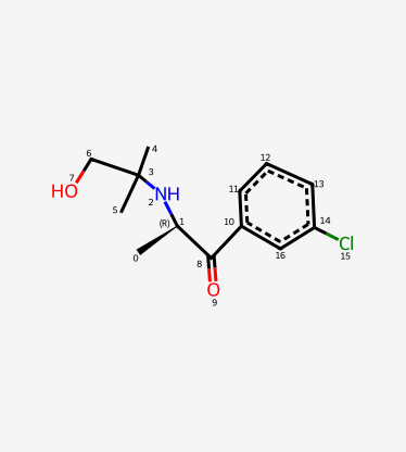 C[C@@H](NC(C)(C)CO)C(=O)c1cccc(Cl)c1